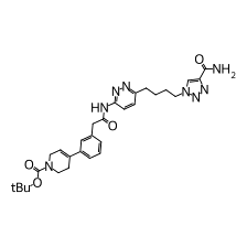 CC(C)(C)OC(=O)N1CC=C(c2cccc(CC(=O)Nc3ccc(CCCCn4cc(C(N)=O)nn4)nn3)c2)CC1